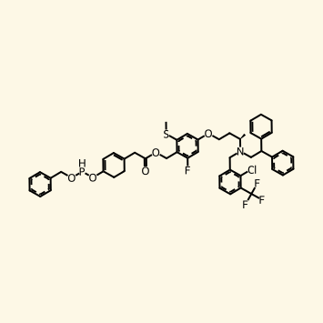 CSc1cc(OCC[C@@H](C)N(Cc2cccc(C(F)(F)F)c2Cl)CC(C2=CCCC=C2)c2ccccc2)cc(F)c1COC(=O)CC1=CC=C(OPOCc2ccccc2)CC1